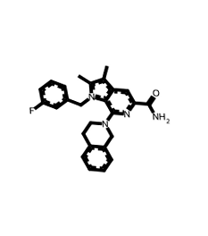 Cc1c(C)n(Cc2cccc(F)c2)c2c(N3CCc4ccccc4C3)nc(C(N)=O)cc12